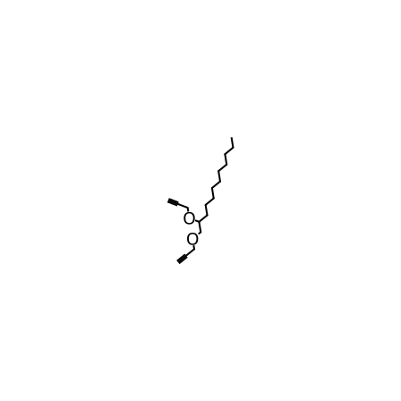 C#CCOCC(CCCCCCCCCC)OCC#C